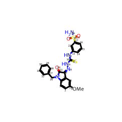 COc1ccc2c(c1)C(=NNC(=S)Nc1cccc(S(N)(=O)=O)c1)C(=O)N2Cc1ccccc1